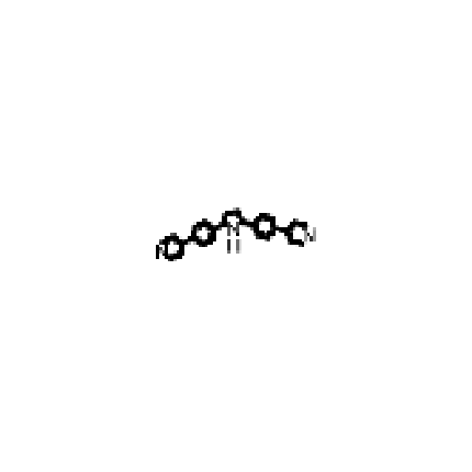 c1cc(-c2ccc(C3CCC(c4ccc(-c5ccncc5)cc4)N3)cc2)ccn1